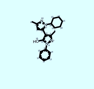 Cc1cc(-c2c(C)nn(-c3ccccc3)c2O)n(C2CCCCC2)n1